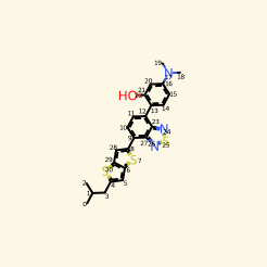 CC(C)Cc1cc2sc(-c3ccc(-c4ccc(N(C)C)cc4O)c4nsnc34)cc2s1